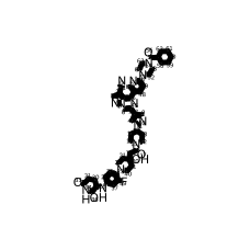 N#Cc1cnn2cc(-c3cnn(C4CCN(C(=O)CC5(O)CCN(c6ccc(NC7CCC(=O)NC7=O)cc6F)CC5)CC4)c3)nc(-c3ccc(N4CCN(C(=O)C5CCCCC5)CC4)nc3)c12